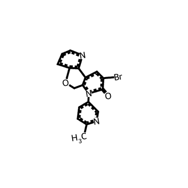 Cc1ccc(-n2c3c(cc(Br)c2=O)-c2ncccc2OC3)cn1